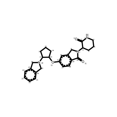 O=C1NCCCC1N1Cc2cc(OC3CCCC3N3Cc4ccccc4C3)ccc2C1=O